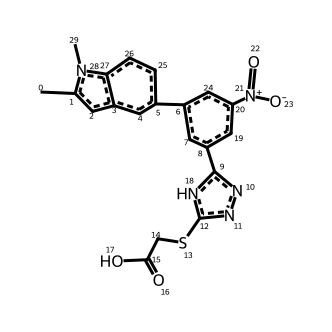 Cc1cc2cc(-c3cc(-c4nnc(SCC(=O)O)[nH]4)cc([N+](=O)[O-])c3)ccc2n1C